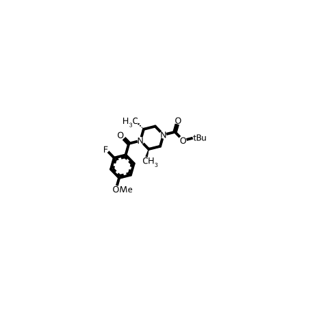 COc1ccc(C(=O)N2[C@H](C)CN(C(=O)OC(C)(C)C)C[C@H]2C)c(F)c1